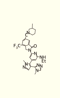 CCNc1cc(-c2c(-c3nncn3C)cnn2C)cc(N2Cc3c(cc(CN4CCCC(C)C4)cc3C(F)(F)F)C2=O)n1